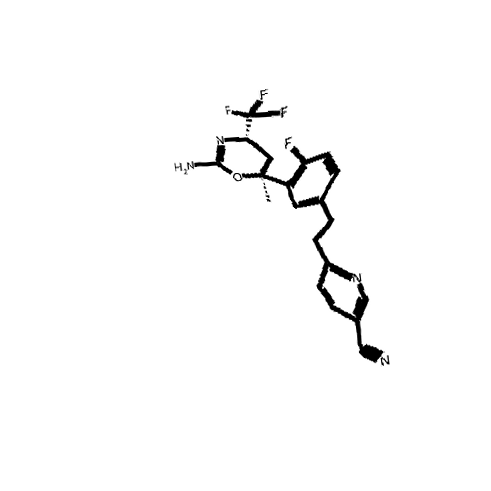 C[C@@]1(c2cc(CCc3ccc(C#N)cn3)ccc2F)C[C@@H](C(F)(F)F)N=C(N)O1